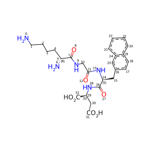 NCCCC[C@@H](N)C(=O)NCC(=O)N[C@@H](Cc1ccc2ccccc2c1)C(=O)N[C@@H](CC(=O)O)C(=O)O